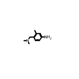 Cc1cc(N)ccc1CN(C)C